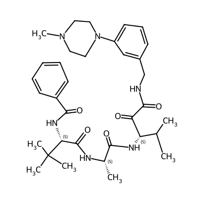 CC(C)[C@H](NC(=O)[C@H](C)NC(=O)[C@@H](NC(=O)c1ccccc1)C(C)(C)C)C(=O)C(=O)NCc1cccc(N2CCN(C)CC2)c1